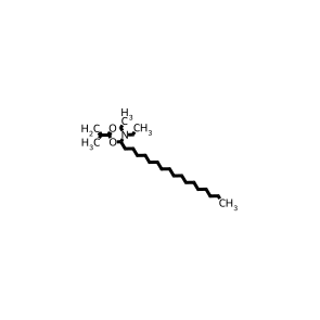 C=C(C)C(=O)OC(CCCCCCCCCCCCCCCCC)N(CC)CC